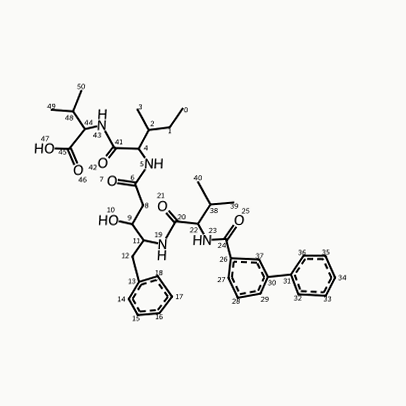 CCC(C)C(NC(=O)CC(O)C(Cc1ccccc1)NC(=O)C(NC(=O)c1cccc(-c2ccccc2)c1)C(C)C)C(=O)NC(C(=O)O)C(C)C